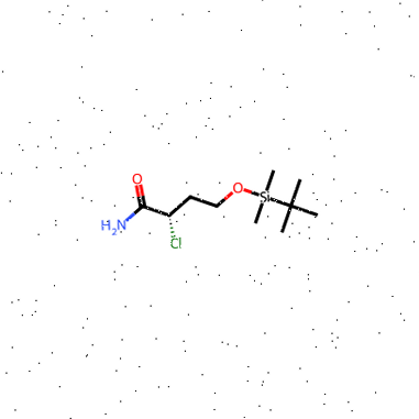 CC(C)(C)[Si](C)(C)OCC[C@H](Cl)C(N)=O